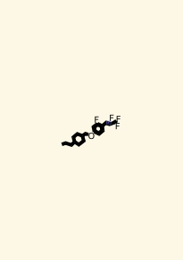 CCCC1CCC(COc2ccc(/C=C/C(F)(F)F)c(F)c2)CC1